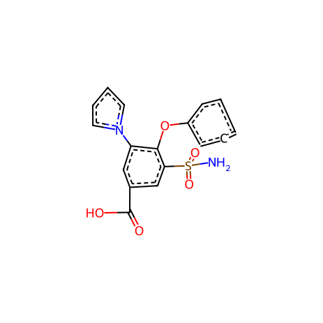 NS(=O)(=O)c1cc(C(=O)O)cc(-n2cccc2)c1Oc1ccccc1